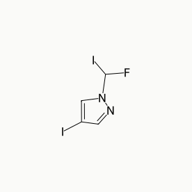 FC(I)n1cc(I)cn1